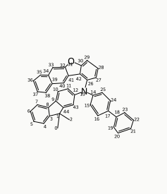 CC1(C)c2ccccc2-c2ccc(N(c3ccc(-c4ccccc4)cc3)c3cccc4oc5cc6ccccc6cc5c34)cc21